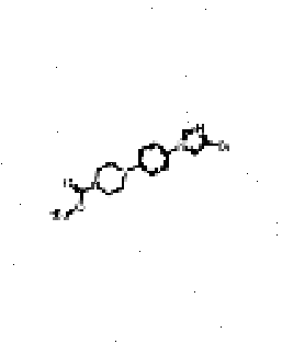 CC(C)(C)OC(=O)N1CCN(c2ccc(-n3cnc(Br)c3)cc2)CC1